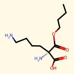 CCCCOC(=O)[C@](N)(CCCCN)C(=O)O